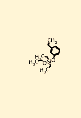 C=Cc1cccc(O[Si](CC)(CC)OCC)c1